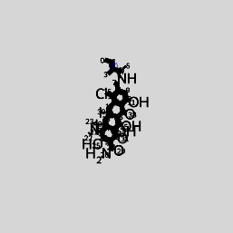 C/C=C(\C)[C@@H](C)NCc1cc(O)c2c(c1Cl)C[C@H]1C[C@H]3[C@H](N(C)C)C(O)=C(C(N)=O)C(=O)[C@@]3(O)C(O)=C1C2=O